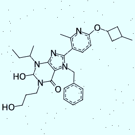 CCC(C)N1c2nc(-c3ccc(OC4CC(C)C4)nc3C)n(Cc3ccccc3)c2C(=O)N(CCCO)C1O